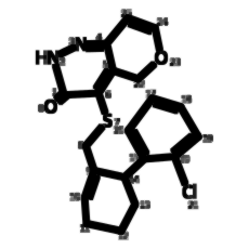 O=c1[nH]nc2c(c1SCC1=CCCCC1c1ccccc1Cl)COC=C2